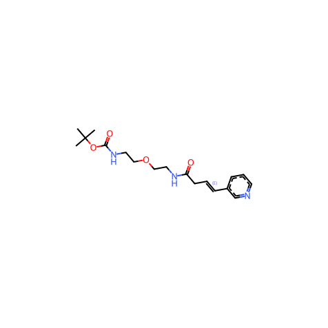 CC(C)(C)OC(=O)NCCOCCNC(=O)C/C=C/c1cccnc1